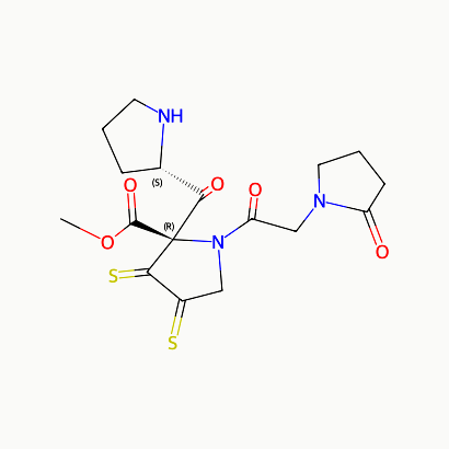 COC(=O)[C@]1(C(=O)[C@@H]2CCCN2)C(=S)C(=S)CN1C(=O)CN1CCCC1=O